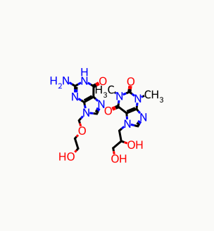 Cn1c(=O)c2c(ncn2CC(O)CO)n(C)c1=O.Nc1nc2c(ncn2COCCO)c(=O)[nH]1